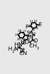 CC(O)C(=O)N1N=C(c2cc(F)ccc2F)SC1(CCCNC(N)=NC#N)c1ccccc1